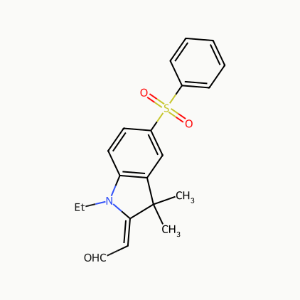 CCN1C(=CC=O)C(C)(C)c2cc(S(=O)(=O)c3ccccc3)ccc21